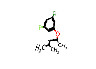 CC(C)[CH][C@H](C)Oc1cc(F)cc(Cl)c1